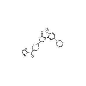 Cc1ccc(-c2ccccc2)cc1N1CC(N2CCN(C(=O)c3nccs3)CC2)CC1=O